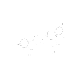 CC(=O)N[C@@H](C)c1cc(Cl)ccc1C1CCN(C(=O)[C@@H]2C[C@@H](N(C)C)C[C@@H]2c2ccc(F)cc2F)CC1